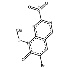 CC(C)(C)On1c(=O)c(Br)cc2cnc([SH](=O)=O)nc21